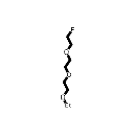 CCOCCOCCOCCF